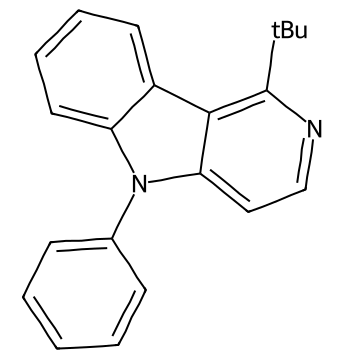 CC(C)(C)c1nccc2c1c1ccccc1n2-c1ccccc1